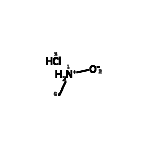 C[NH2+][O-].Cl